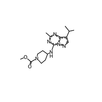 COC(=O)N1CCC(Nc2nc(C)nc3c(C(C)C)cnn23)CC1